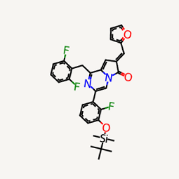 CC(C)(C)[Si](C)(C)Oc1cccc(C2=CN3C(=O)/C(=C/c4ccco4)C=C3C(Cc3c(F)cccc3F)=N2)c1F